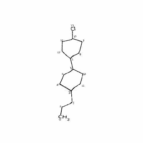 CCCC1CCC(C2CCC(Cl)CC2)CC1